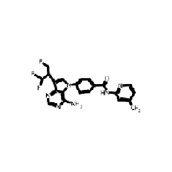 Nc1ncnc2c(C(CF)C(F)F)cn(-c3ccc(C(=O)Nc4cc(C(F)(F)F)ccn4)cc3)c12